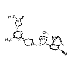 Cc1cc(N2C[C@@H](N)[C@@H](F)C2)nc(N2CCN(C[C@H]3CN(c4ccc(C#N)c5nccnc45)C[C@@H](C)O3)CC2)n1